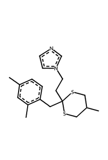 Cc1ccc(CC2(CCn3ccnc3)SCC(C)CS2)c(C)c1